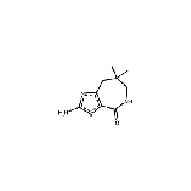 CC1(C)CNC(=O)c2sc(N)nc2C1